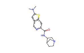 CN(C)c1cc2cnc(C(=O)NC3CN4CCC3C4)cc2s1